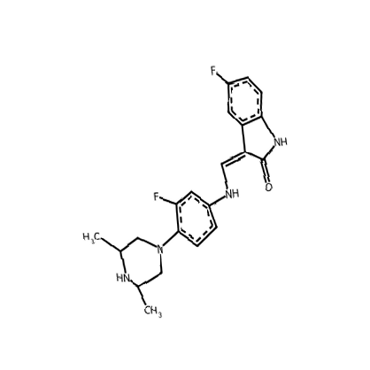 CC1CN(c2ccc(NC=C3C(=O)Nc4ccc(F)cc43)cc2F)CC(C)N1